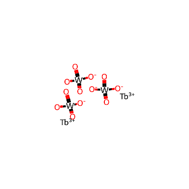 [O]=[W](=[O])([O-])[O-].[O]=[W](=[O])([O-])[O-].[O]=[W](=[O])([O-])[O-].[Tb+3].[Tb+3]